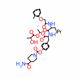 Cc1ccccc1OCC(=O)NC(CC(C)C)C(=O)NC(Cc1ccc(OC(=O)N2CCC(C(N)=O)CC2)cc1)C(=O)OC(C)OC(=O)C(C)O